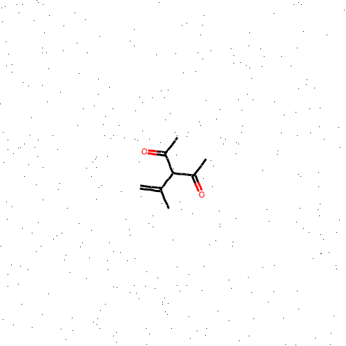 C=C(C)C(C(C)=O)C(C)=O